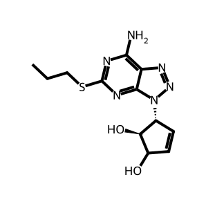 CCCSc1nc(N)c2nnn([C@@H]3C=CC(O)[C@H]3O)c2n1